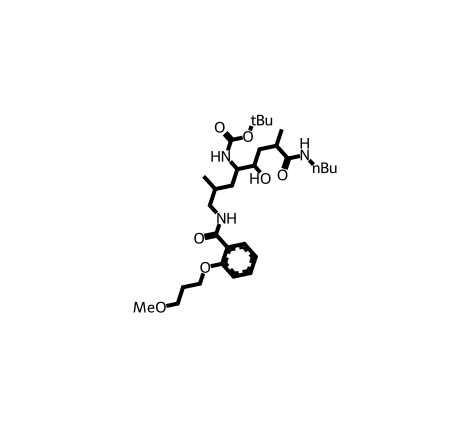 CCCCNC(=O)C(C)CC(O)C(CC(C)CNC(=O)c1ccccc1OCCCOC)NC(=O)OC(C)(C)C